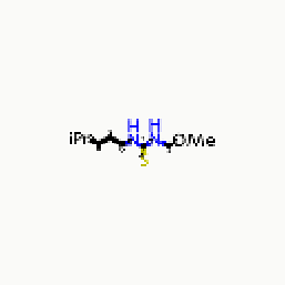 COCNC(=S)NCCCC(C)C